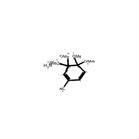 COC1(OC)C=CC(C#N)=CC1(OC)OC.N